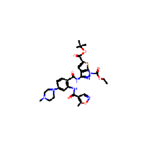 CCOC(=O)n1nc(NC(=O)c2ccc(N3CCN(C)CC3)cc2NC(=O)c2cnoc2C)c2cc(C(=O)OC(C)(C)C)sc21